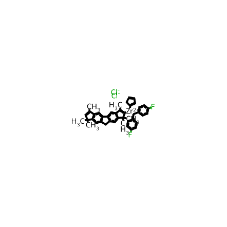 CC1=CC(C)(C)c2cc3c(cc21)-c1cc2c(cc1C3)C(C)(C)[C]([Zr+2]([C]1=CC=CC1)=[C](c1ccc(F)cc1)c1ccc(F)cc1)=C2C.[Cl-].[Cl-]